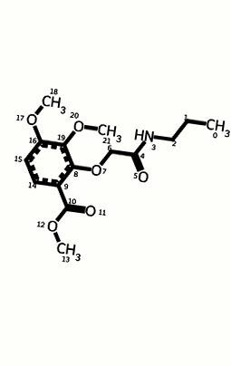 CCCNC(=O)COc1c(C(=O)OC)ccc(OC)c1OC